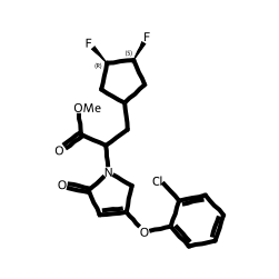 COC(=O)C(CC1C[C@@H](F)[C@@H](F)C1)N1CC(Oc2ccccc2Cl)=CC1=O